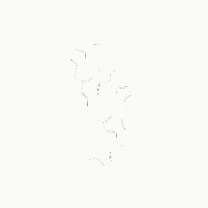 COc1ccc(Cc2cc(C)cc(C(O)c3ccc(Cc4cc(C)cc(C(O)c5ccc(CO)o5)c4O)o3)c2O)o1